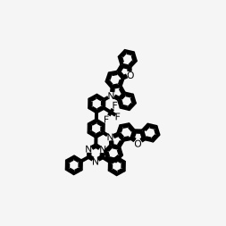 FC(F)(F)c1c(-c2ccc(-c3nc(-c4ccccc4)nc(-c4ccccc4)n3)c(-n3c4ccccc4c4c5oc6ccccc6c5ccc43)c2)cccc1-n1c2ccccc2c2c3oc4ccccc4c3ccc21